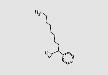 CCCCCCCCC(c1ccccc1)C1CO1